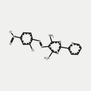 Nc1nc(-c2ccccn2)nc(N)c1/N=N/c1ccc([N+](=O)[O-])cc1Cl